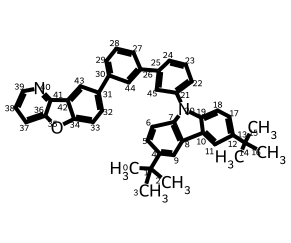 CC(C)(C)c1ccc2c(c1)c1cc(C(C)(C)C)ccc1n2-c1cccc(-c2cccc(-c3ccc4oc5cccnc5c4c3)c2)c1